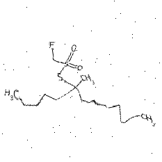 CCCCCCC(C)(CCCC)SS(=O)(=O)CF